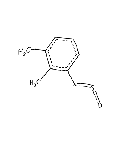 Cc1cccc([C]=S=O)c1C